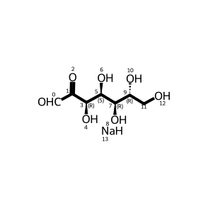 O=CC(=O)[C@H](O)[C@@H](O)[C@H](O)[C@H](O)CO.[NaH]